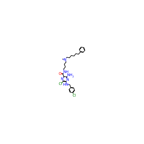 CN(CCCCCCc1ccccc1)CCCCNC(=O)c1nc(Cl)c(NCc2ccc(Cl)cc2)nc1N